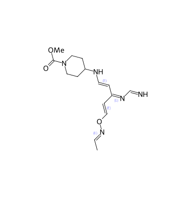 C/C=N/O/C=C/C(/C=C/NC1CCN(C(=O)OC)CC1)=N/C=N